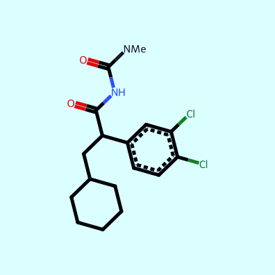 CNC(=O)NC(=O)C(CC1CCCCC1)c1ccc(Cl)c(Cl)c1